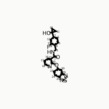 O=C(NCc1ccc(C2(O)CC2)cc1F)c1cccnc1Oc1ccc2nsnc2c1